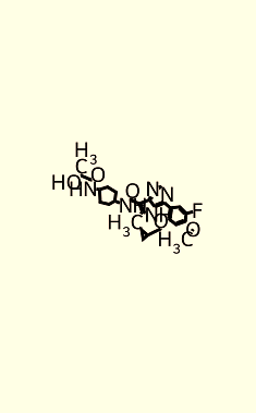 COc1cc(OCC2CC2)c(-c2ncnc3c(C(=O)NC4CCC(NC(=O)[C@H](C)O)CC4)c(C)[nH]c23)cc1F